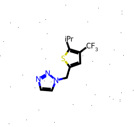 CC(C)c1sc(Cn2ccnn2)cc1C(F)(F)F